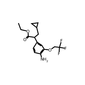 CCOC(=O)C(CC1CC1)c1ccc(N)c(OCC(F)(F)F)c1